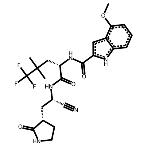 COc1cccc2[nH]c(C(=O)N[C@@H](CC(C)(C)C(F)(F)F)C(=O)N[C@H](C#N)C[C@@H]3CCNC3=O)cc12